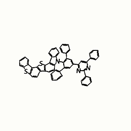 c1ccc(-c2cc(-c3cc(-c4ccccc4)c(-n4c5ccccc5c5c6sc7c(ccc8sc9ccccc9c87)c6ccc54)c(-c4ccccc4)c3)nc(-c3ccccc3)n2)cc1